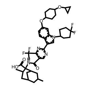 CC1CC2CC(C)C(NC(=O)c3cnc(-c4cn(C5CCC(F)(F)CC5)c5cc(OC6CCC(OC7CC7)CC6)ccc45)nc3C(F)(F)F)(C(=O)O)C(C1)C2